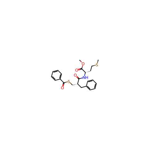 COC(=O)[C@H](CCSC)NC(=O)[C@@H](CSC(=O)c1ccccc1)Cc1ccccc1